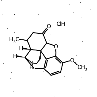 COc1ccc2c3c1OC1C(=O)CC(C)[C@H]4[C@@H](C2)NCC[C@]314.Cl